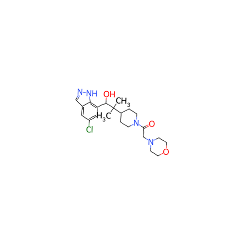 CC(C)(C1CCN(C(=O)CN2CCOCC2)CC1)C(O)c1cc(Cl)cc2cn[nH]c12